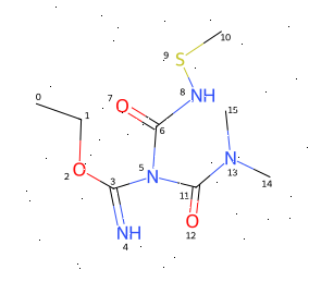 CCOC(=N)N(C(=O)NSC)C(=O)N(C)C